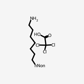 CCCCCCCCCCCCCCCCN.O=C(O)C(Cl)(Cl)Cl